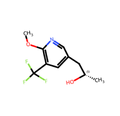 COc1ncc(C[C@H](C)O)cc1C(F)(F)F